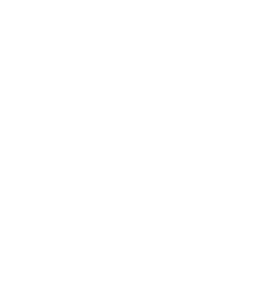 [CH2]C(C=C)c1cc(CCC)cc(OCCCC)c1